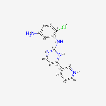 Nc1ccc(Cl)c(Nc2nccc(-c3cccnc3)n2)c1